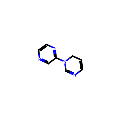 [c]1nccnc1N1C=NC=CC1